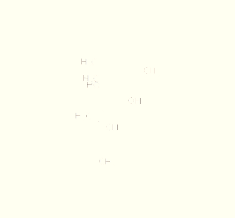 CCCCC(C)(C)c1cc(O)c(C2C=C(C)CCC2C(C)C)c(O)c1